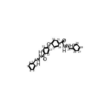 O=C(NNCc1ccccc1)c1ccc(Oc2ccc(C(=O)NNCc3ccccc3)cc2)cc1